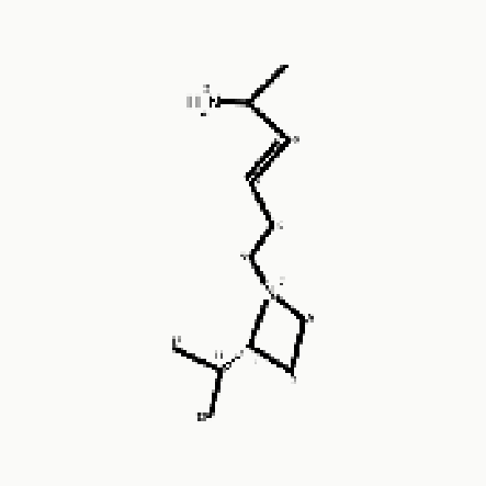 CC(N)/C=C/CCN1CC[C@@H]1C(C)C